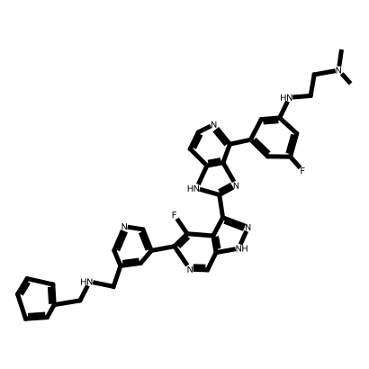 CN(C)CCNc1cc(F)cc(-c2nccc3[nH]c(-c4n[nH]c5cnc(-c6cncc(CNCc7ccccc7)c6)c(F)c45)nc23)c1